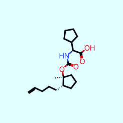 C=CCCC[C@H]1CCC[C@]1(C)OC(=O)N[C@H](C(=O)O)C1CCCC1